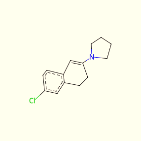 Clc1ccc2c(c1)CCC(N1CCCC1)=C2